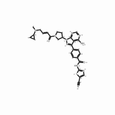 CN(C/C=C/C(=O)N1CCC(n2nc(-c3ccc(C(=O)Nc4ncc(C#N)s4)cc3)c3c(N)ncnc32)C1)C1CC1